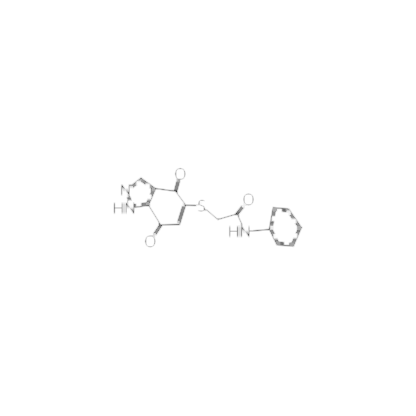 O=C(CSC1=CC(=O)c2[nH]ncc2C1=O)Nc1ccccc1